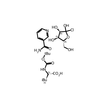 CC[C@H](C)[C@H](NC(=O)OC(C)(C)C)C(=O)O.NC(=O)c1cccnc1.OC[C@H]1OC(O)(Cl)[C@H](O)[C@@H]1O